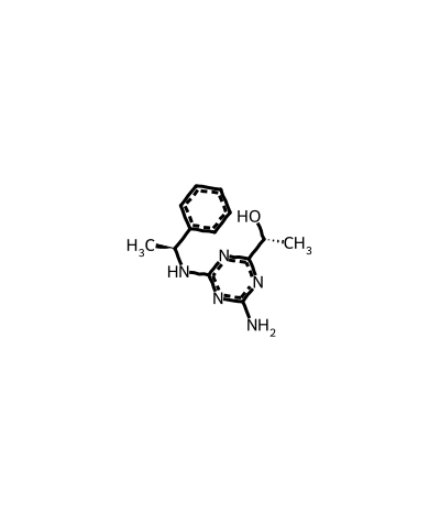 C[C@H](Nc1nc(N)nc([C@@H](C)O)n1)c1ccccc1